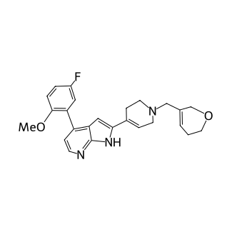 COc1ccc(F)cc1-c1ccnc2[nH]c(C3=CCN(CC4=CCCOC4)CC3)cc12